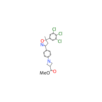 COC(=O)C1CN(c2ccc(C3=NOC(C)(c4cc(Cl)c(Cl)c(Cl)c4)C3)cc2)C1